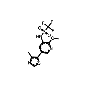 COc1ncc(-c2scnc2C)cc1NS(=O)(=O)C(F)(F)F